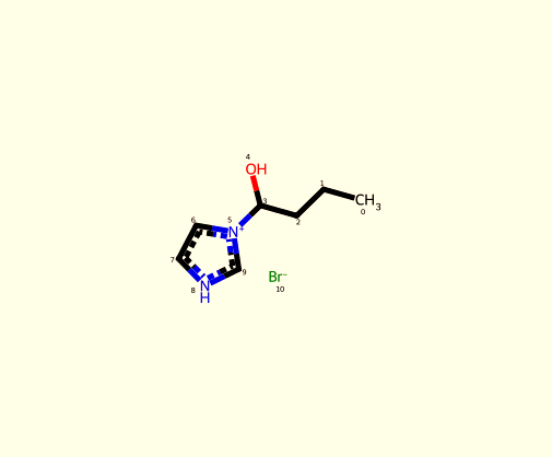 CCCC(O)[n+]1cc[nH]c1.[Br-]